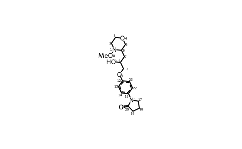 CON1CCOCC1CC(O)COc1ccc(N2CCCC2=O)cc1